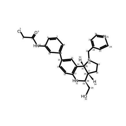 O=C(CCl)Nc1cccc(-c2ccc3c(c2)[C@H]2[C@H](CCN2Cc2ccncc2)[C@@H](CO)N3)c1